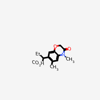 CCC(C(=O)O)c1cc2c(cc1C)N(C)C(=O)CO2